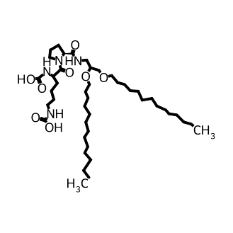 CCCCCCCCCCCCCCOCC(CNC(=O)[C@@H]1CCCN1C(=O)C(CCCCNC(=O)O)NC(=O)O)OCCCCCCCCCCCCCC